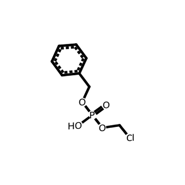 O=P(O)(OCCl)OCc1ccccc1